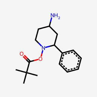 CC(C)(C)C(=O)ON1CCC(N)CC1c1ccccc1